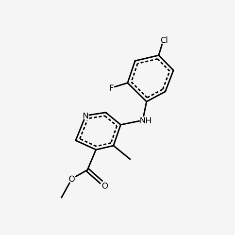 COC(=O)c1cncc(Nc2ccc(Cl)cc2F)c1C